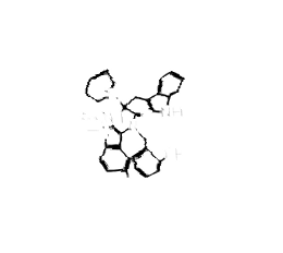 CC(=O)NC(Cc1c[nH]c2ccccc12)(C(=O)N(Cc1ccccc1C(F)(F)F)c1c[nH]c2ccc(F)cc12)N1CC=CCC1